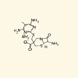 Cc1c(N)nc(SCC2(C(=O)[O-])CS[C@@H]3C(N)C(=O)N3C2)[n+](N)c1N